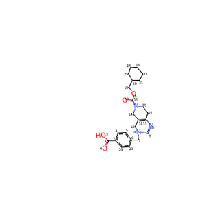 O=C(O)c1ccc(CN2C=NC3=C(C2)CN(C(=O)OCC2CCCCC2)CC3)cc1